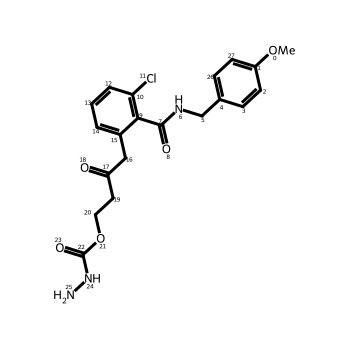 COc1ccc(CNC(=O)c2c(Cl)cccc2CC(=O)CCOC(=O)NN)cc1